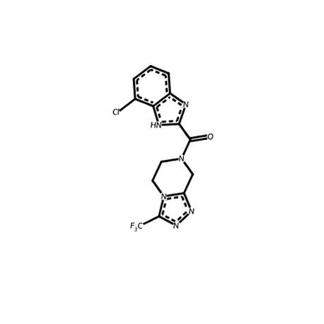 O=C(c1nc2cccc(Cl)c2[nH]1)N1CCn2c(nnc2C(F)(F)F)C1